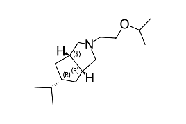 CC(C)OCCN1C[C@H]2C[C@@H](C(C)C)C[C@H]2C1